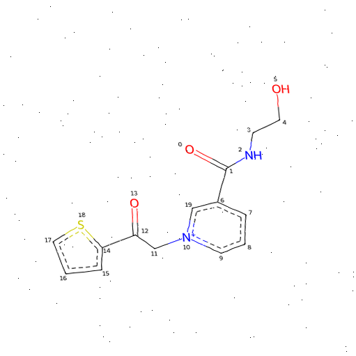 O=C(NCCO)c1ccc[n+](CC(=O)c2cccs2)c1